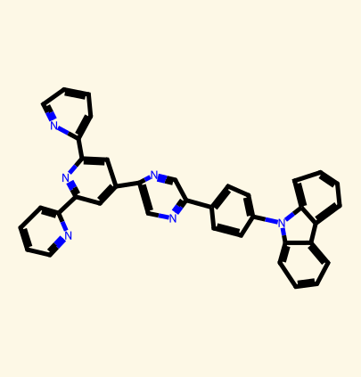 c1ccc(-c2cc(-c3cnc(-c4ccc(-n5c6ccccc6c6ccccc65)cc4)cn3)cc(-c3ccccn3)n2)nc1